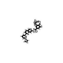 O=C(NCc1cc2nc(-c3cccc(N4CCC4)n3)ccc2cn1)c1cc(F)c2c(c1)S(=O)(=O)[C@@H](F)COC2